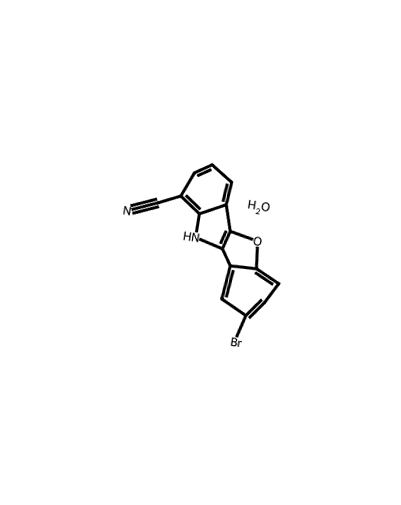 N#Cc1cccc2c1[nH]c1c3cc(Br)ccc3oc21.O